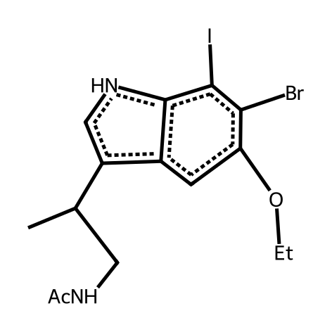 CCOc1cc2c(C(C)CNC(C)=O)c[nH]c2c(I)c1Br